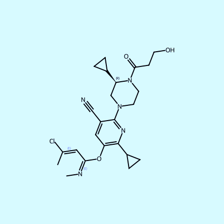 C/N=C(\C=C(/C)Cl)Oc1cc(C#N)c(N2CCN(C(=O)CCO)[C@H](C3CC3)C2)nc1C1CC1